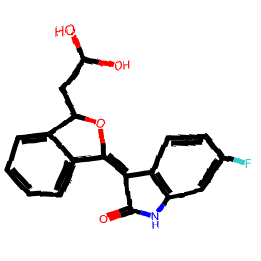 O=C1Nc2cc(F)ccc2/C1=C1\OC(CC(O)O)c2ccccc21